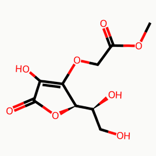 COC(=O)COC1=C(O)C(=O)O[C@@H]1[C@@H](O)CO